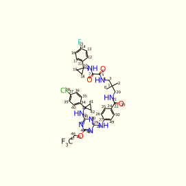 CC(C)(CNC(=O)C(=O)NC1(c2ccc(F)cc2)CC1)CNC(=O)c1ccc(Nc2nc(NC3(c4ccc(Cl)cc4)CC3)nc(OCC(F)(F)F)n2)cc1